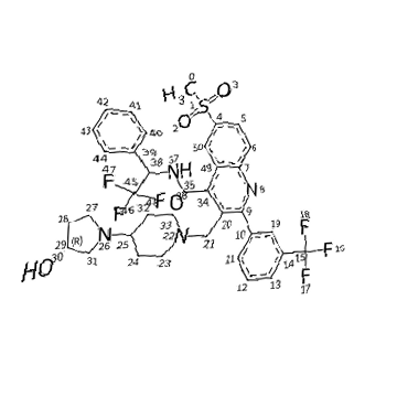 CS(=O)(=O)c1ccc2nc(-c3cccc(C(F)(F)F)c3)c(CN3CCC(N4CC[C@@H](O)C4)CC3)c(C(=O)NC(c3ccccc3)C(F)(F)F)c2c1